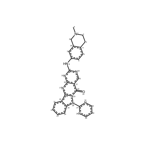 CN1CCc2ccc(Nc3ncc4c(=O)n5c(nc4n3)c3ccccc3n5-c3ncccn3)cc2C1